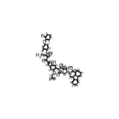 Cc1cc(Oc2ccccc2F)ccc1-n1ncc(C(=O)c2cc3cc(OCC(F)F)c(N4C(=O)[C@@H]5C[C@H](N(CC6c7ccccc7-c7ccccc76)C(=O)O)CN5C4=O)cc3[nH]2)c1N